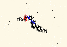 CC(C)(C)OC(=O)N1CCCC(n2cc3ccc(-c4ccc(C#N)cc4)cc3n2)C1